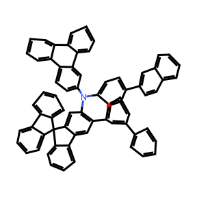 c1ccc(-c2cccc(-c3cc4c(cc3N(c3ccc(-c5ccc6ccccc6c5)cc3)c3ccc5c6ccccc6c6ccccc6c5c3)C3(c5ccccc5-c5ccccc53)c3ccccc3-4)c2)cc1